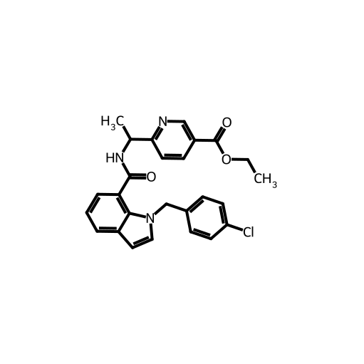 CCOC(=O)c1ccc(C(C)NC(=O)c2cccc3ccn(Cc4ccc(Cl)cc4)c23)nc1